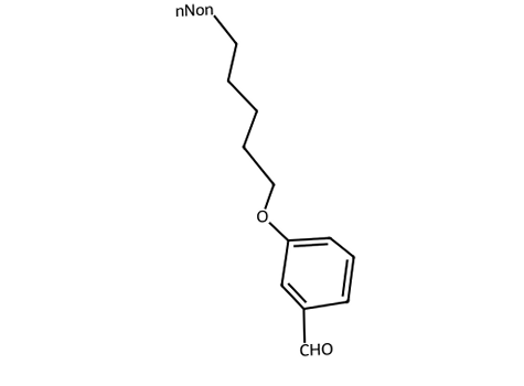 CCCCCCCCCCCCCCOc1cccc(C=O)c1